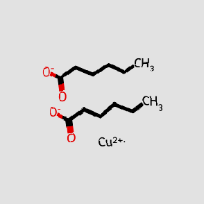 CCCCCC(=O)[O-].CCCCCC(=O)[O-].[Cu+2]